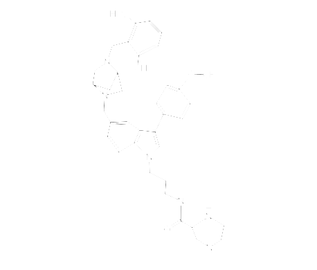 Cc1cccc(C)c1CN1CC2CC1CN2Cc1ccc2c(c1)c(-c1ccc(OC(F)(F)F)cc1)cn2CCCNC(=O)C1CNCCN1